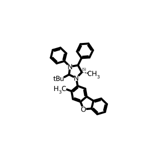 Cc1cc2oc3ccccc3c2cc1N1C(C(C)(C)C)N(c2ccccc2)C(c2ccccc2)[C@@H]1C